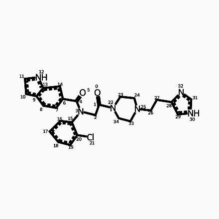 O=C(CN(C(=O)c1ccc2cc[nH]c2c1)c1ccccc1Cl)N1CCN(CCc2c[nH]cn2)CC1